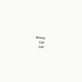 [CsH].[CsH].[O]=[W]